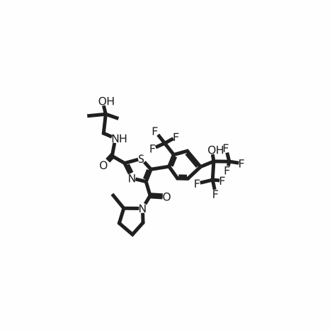 CC1CCCN1C(=O)c1nc(C(=O)NCC(C)(C)O)sc1-c1ccc(C(O)(C(F)(F)F)C(F)(F)F)cc1C(F)(F)F